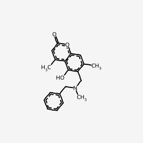 Cc1cc2oc(=O)cc(C)c2c(O)c1CN(C)Cc1ccccc1